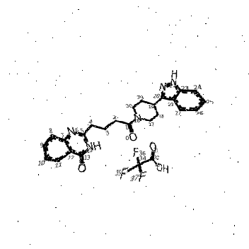 O=C(CCCc1nc2ccccc2c(=O)[nH]1)N1CCC(c2n[nH]c3ccccc23)CC1.O=C(O)C(F)(F)F